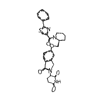 O=C1CCC(N2Cc3cc(OC[C@@H]4CCCCN4C(=O)c4csc(-c5ccccc5)n4)ccc3C2=O)C(=O)N1